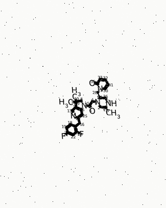 C[C@@H]1CN(CC(=O)N2CC(C)(C)c3cnc(Cc4ccc(F)cc4F)cc32)[C@@H](Cn2ccccc2=O)CN1